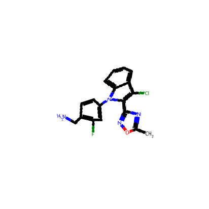 Cc1nc(-c2c(Cl)c3ccccc3n2-c2ccc(CN)c(F)c2)no1